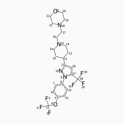 FC(F)(F)Oc1ccc(-n2nc(C3CCN(CCN4CCOCC4)CC3)cc2C(F)(F)F)cc1